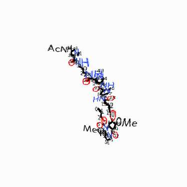 C=CCOC(=O)N1c2cc(OCCCC(=O)Nc3cc(C(=O)Nc4cc(C(=O)NCCCNC(=O)c5cc(NC(C)=O)cn5C)n(C)c4)n(C)c3)c(OC)cc2C(=O)N2CCC[C@H]2[C@@H]1OC